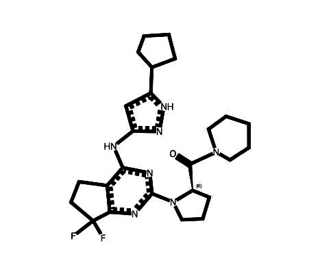 O=C([C@H]1CCCN1c1nc(Nc2cc(C3CCCC3)[nH]n2)c2c(n1)C(F)(F)CC2)N1CCCCC1